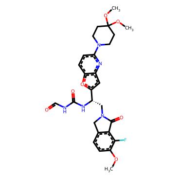 COc1ccc2c(c1F)C(=O)N(C[C@H](NC(=O)NC=O)c1cc3nc(N4CCC(OC)(OC)CC4)ccc3o1)C2